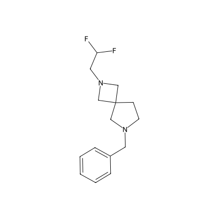 FC(F)CN1CC2(CCN(Cc3ccccc3)C2)C1